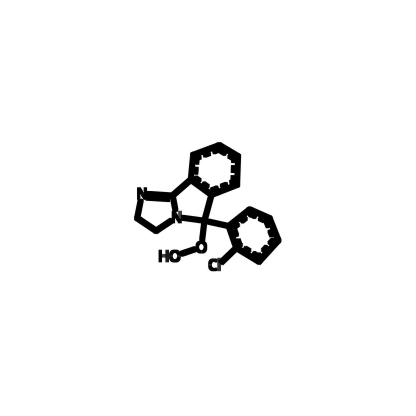 OOC1(c2ccccc2Cl)c2ccccc2C2=NCCN21